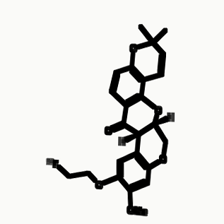 COc1cc2c(cc1OCC[18F])[C@@H]1C(=O)c3ccc4c(c3O[C@@H]1CO2)C=CC(C)(C)O4